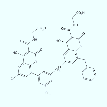 O=C(O)CNC(=O)c1c(O)c2cc(Cl)cc(-c3cc(C(F)(F)F)cc(C(F)(F)F)c3)c2sc1=O.O=C(O)CNC(=O)c1c(O)c2cc(Cl)cc(Cc3ccccc3)c2sc1=O